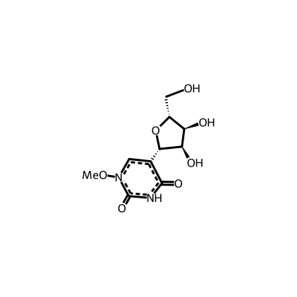 COn1cc([C@@H]2O[C@H](CO)[C@@H](O)[C@H]2O)c(=O)[nH]c1=O